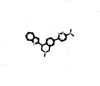 CN1Cc2cc(-c3ccc(N(C)C)nn3)ccc2C(c2cc3ccccc3o2)C1